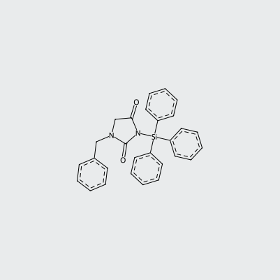 O=C1CN(Cc2ccccc2)C(=O)N1[Si](c1ccccc1)(c1ccccc1)c1ccccc1